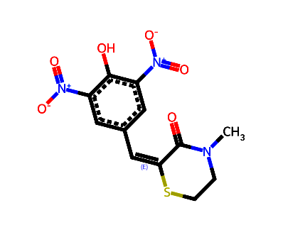 CN1CCS/C(=C/c2cc([N+](=O)[O-])c(O)c([N+](=O)[O-])c2)C1=O